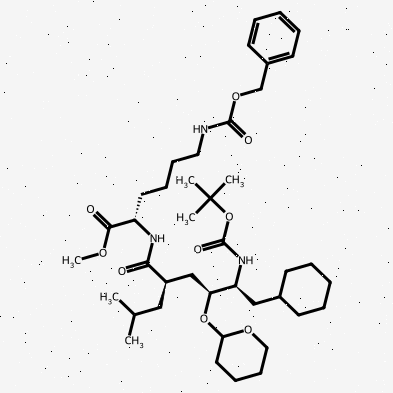 COC(=O)[C@H](CCCCNC(=O)OCc1ccccc1)NC(=O)[C@H](CC(C)C)C[C@H](OC1CCCCO1)[C@H](CC1CCCCC1)NC(=O)OC(C)(C)C